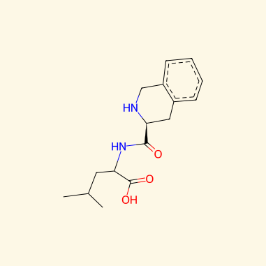 CC(C)CC(NC(=O)[C@@H]1Cc2ccccc2CN1)C(=O)O